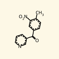 Cc1ccc(C(=O)c2cccnc2)cc1[N+](=O)[O-]